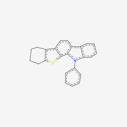 c1ccc(-n2c3ccccc3c3ccc4c5c(sc4c32)CCCC5)cc1